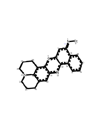 CC/N=c1/cc2sc3c4c5c(cc3nc-2c2ccccc12)CCCN5CCC4